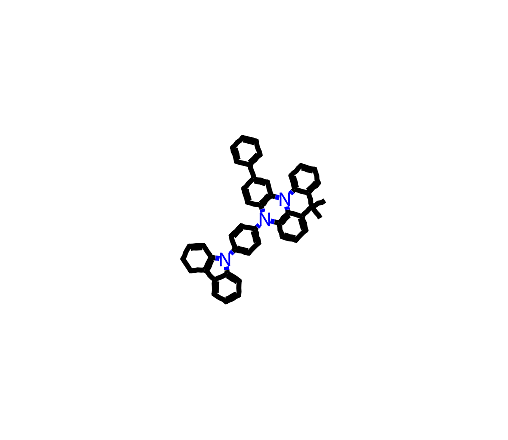 CC1(C)c2ccccc2N2c3cc(-c4ccccc4)ccc3N(c3ccc(-n4c5c(c6ccccc64)CCC=C5)cc3)c3cccc1c32